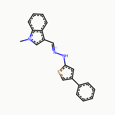 Cn1cc(/C=N/Nc2cc(-c3ccccc3)cs2)c2ccccc21